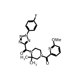 COc1cccc(C(=O)N2CCN(C(=O)c3nnn(-c4ccc(F)cc4)n3)C(C)(C)C2)n1